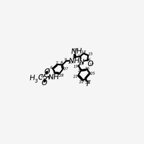 CS(=O)(=O)Nc1ccc(CNC(=N)C2CCC(=O)N2Cc2ccc(F)cc2)cc1